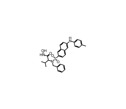 Cc1ccc(Nc2ccc3cc(S(=O)(=O)N(Cc4ccccc4)C(C(=O)NO)C(C)C)ccc3c2)cc1